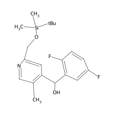 Cc1cnc(CO[Si](C)(C)C(C)(C)C)cc1C(O)c1cc(F)ccc1F